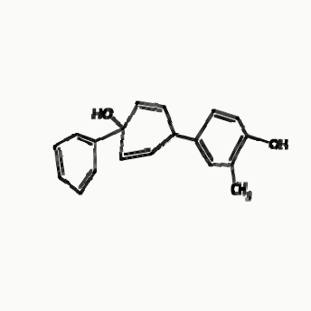 Cc1cc(C2C=CC(O)(c3ccccc3)C=C2)ccc1O